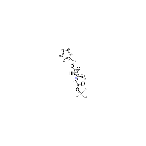 CS/C(=N\C(=O)OC(C)(C)C)NC(=O)OCc1ccccc1